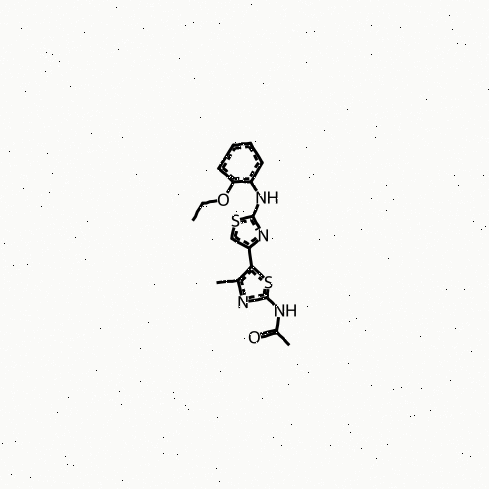 CCOc1ccccc1Nc1nc(-c2sc(NC(C)=O)nc2C)cs1